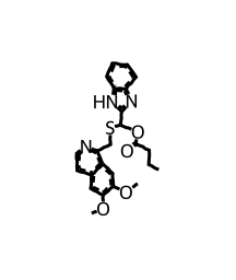 CCCC(=O)OC(SCc1nccc2cc(OC)c(OC)cc12)c1nc2ccccc2[nH]1